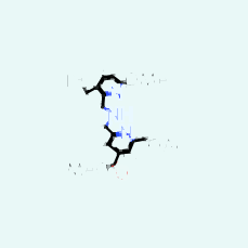 COC(=O)c1cc(CNCc2nc(OC)ccc2CC(C)C)nc(COC(C)=O)c1